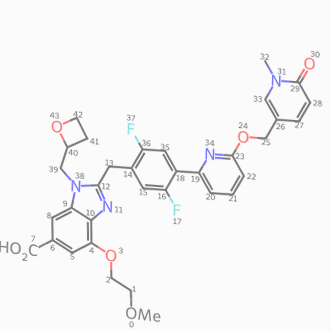 COCCOc1cc(C(=O)O)cc2c1nc(Cc1cc(F)c(-c3cccc(OCc4ccc(=O)n(C)c4)n3)cc1F)n2CC1CCO1